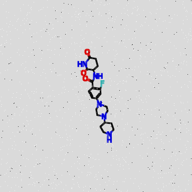 O=C1CCC(NC(=O)c2ccc(N3CCN(C4CCNCC4)CC3)cc2F)C(=O)N1